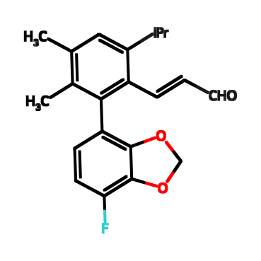 Cc1cc(C(C)C)c(C=CC=O)c(-c2ccc(F)c3c2OCO3)c1C